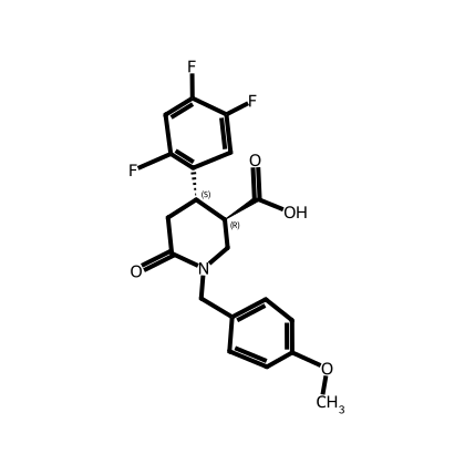 COc1ccc(CN2C[C@H](C(=O)O)[C@@H](c3cc(F)c(F)cc3F)CC2=O)cc1